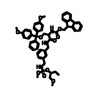 CCC(COC)OP(=O)(NCc1cccc(CNC(=O)C(COC(c2ccccc2)(c2ccc(OC)cc2)c2ccc(OC)cc2)NC(=O)OCC2c3ccccc3-c3ccccc32)c1)OC